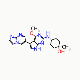 COc1nc(N[C@H]2CC[C@](C)(O)CC2)nc2[nH]cc(-c3cnc4nccn4c3)c12